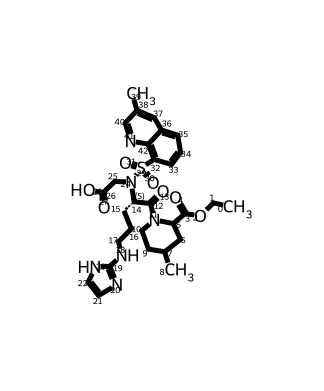 CCOC(=O)C1CC(C)CCN1C(=O)[C@H](CCCNc1ncc[nH]1)N(CC(=O)O)S(=O)(=O)c1cccc2cc(C)cnc12